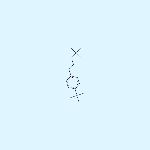 CC(C)(C)SCCc1ccc(C(C)(C)C)cc1